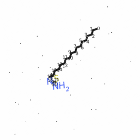 CCCCCCCCCCCCCCCCc1cnc(N)s1